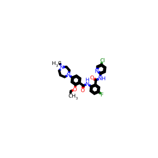 CCOc1cc(N2CCCN(C)CC2)ccc1C(=O)Nc1ccc(F)cc1C(=O)Nc1ccc(Cl)cn1